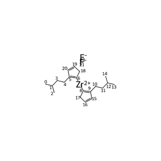 CC(C)CCC1=[C]([Zr+2][C]2=C(CCC(C)C)C=CC2)CC=C1.[F-].[F-]